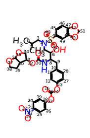 CC(C)CN(CC(O)C(Cc1ccc(OC(=O)Oc2ccc([N+](=O)[O-])cc2)cc1)NC(=O)OC1COC2OCCC12)S(=O)(=O)c1ccc2c(c1)OCO2